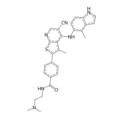 Cc1c(Nc2c(C#N)cnc3sc(-c4ccc(C(=O)NCCN(C)C)cc4)c(C)c23)ccc2[nH]ccc12